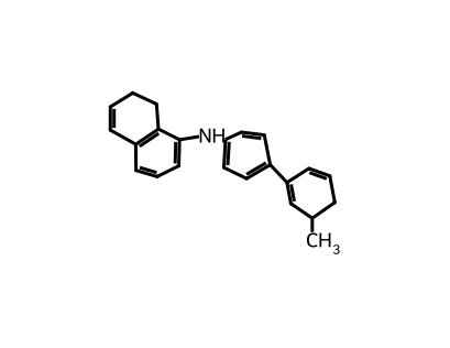 CC1C=C(c2ccc(Nc3cccc4c3CCC=C4)cc2)C=CC1